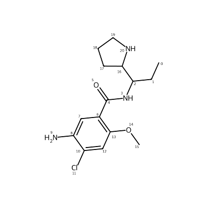 CCC(NC(=O)c1cc(N)c(Cl)cc1OC)C1CCCN1